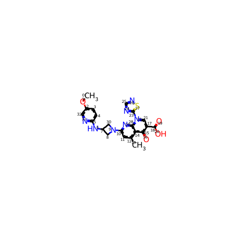 COc1ccc(NC2CN(c3cc(C)c4c(=O)c(C(=O)O)cn(-c5ncns5)c4n3)C2)nc1